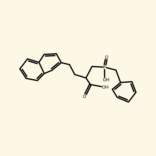 O=C(O)C(CCc1ccc2ccccc2c1)CP(=O)(O)Cc1ccccc1